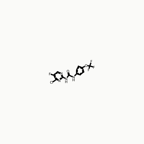 O=C(Nc1ccc(OC(F)(F)F)cc1)Nc1ncc(F)c(Cl)n1